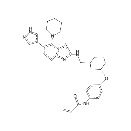 C=CC(=O)Nc1ccc(O[C@H]2CCCC(CNc3nc4ccc(-c5cn[nH]c5)c(N5CCCCC5)n4n3)C2)cc1